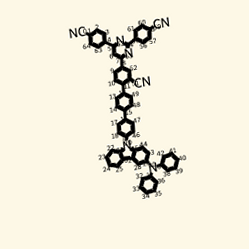 N#Cc1ccc(-c2cc(-c3ccc(-c4ccc(-c5ccc(-n6c7ccccc7c7cc(N(c8ccccc8)c8ccccc8)ccc76)cc5)cc4)c(C#N)c3)nc(-c3ccc(C#N)cc3)n2)cc1